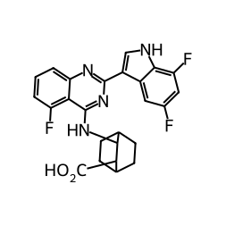 O=C(O)C1C2CCC(CC2)C1Nc1nc(-c2c[nH]c3c(F)cc(F)cc23)nc2cccc(F)c12